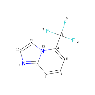 FC(F)(F)c1cccc2n[c]cn12